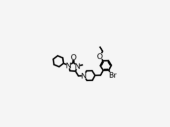 CCOc1ccc(Br)c(CC2CCN(CC3CN(C4CCCCC4)C(=O)N3C)CC2)c1